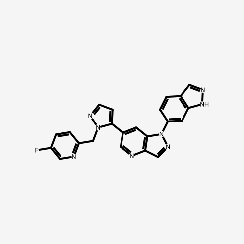 Fc1ccc(Cn2nccc2-c2cnc3cnn(-c4ccc5cn[nH]c5c4)c3c2)nc1